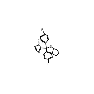 Cn1ccnc1C(SC1CCCC1)(c1ccc(F)cc1)c1ccc(F)cc1